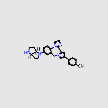 N#Cc1ccc(-c2cc3n(c2)Cc2cc(N4CC[C@H]5NCC[C@@H]54)ccc2-n2ccnc2-3)cc1